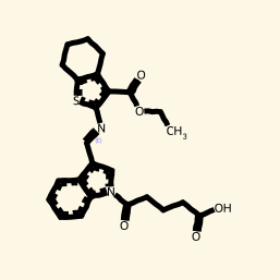 CCOC(=O)c1c(/N=C/c2cn(C(=O)CCCC(=O)O)c3ccccc23)sc2c1CCCC2